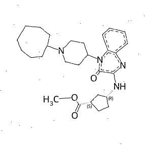 COC(=O)[C@H]1CC[C@@H](Nc2nc3ccccc3n(C3CCN(C4CCCCCCC4)CC3)c2=O)C1